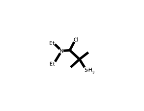 CCN(CC)C(Cl)C(C)(C)[SiH3]